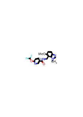 COc1ccc2ncn(C)c2c1CNC(=O)c1ccc(OC(F)F)nc1